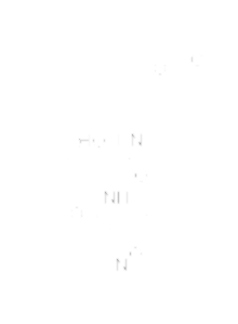 Cc1noc(-c2ccccc2)c1C(=O)NC(Cc1ccccc1)C(O)C(=O)NCc1ccc2c(c1)OCO2